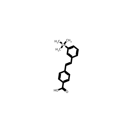 [CH3][Ge]([CH3])([CH3])[c]1cccc(C=Cc2ccc(C(=O)O)cc2)c1